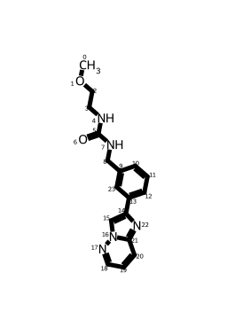 COCCNC(=O)NCc1cccc(-c2cn3ncccc3n2)c1